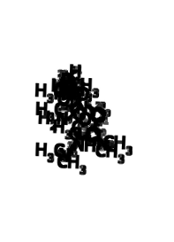 CCOc1c(CN2O[C@@H](CN)[C@@H]([C@H](C)O)[C@H]2C(=O)N[C@H]2C[C@H]3C[C@@H]([C@@H]2C)C3(C)C)cccc1-c1cc(C(=O)NCCN(C)C)cc(N(C)C)c1